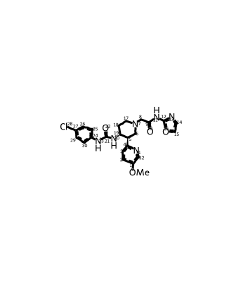 COc1ccc([C@@H]2CN(CC(=O)Nc3ncco3)CC[C@H]2NC(=O)Nc2ccc(Cl)cc2)nc1